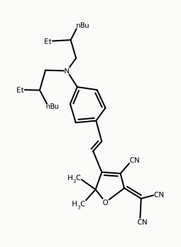 CCCCC(CC)CN(CC(CC)CCCC)c1ccc(/C=C/C2=C(C#N)C(=C(C#N)C#N)OC2(C)C)cc1